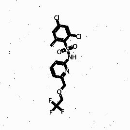 Cc1cc(Cl)cc(Cl)c1S(=O)(=O)Nc1cccc(COCC(F)(F)F)n1